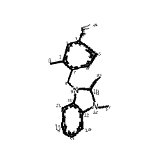 Cc1cc(F)ccc1CN1c2ccccc2N(C)C1C